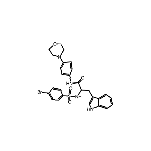 O=C(Nc1ccc(N2CCOCC2)cc1)C(Cc1c[nH]c2ccccc12)NS(=O)(=O)c1ccc(Br)cc1